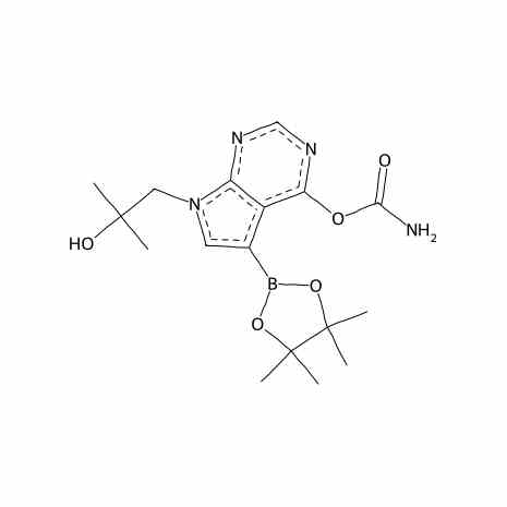 CC(C)(O)Cn1cc(B2OC(C)(C)C(C)(C)O2)c2c(OC(N)=O)ncnc21